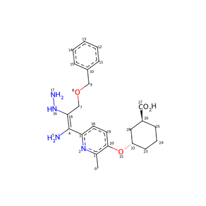 Cc1nc(/C(N)=C(\COCc2ccccc2)NN)ccc1O[C@H]1CCC[C@H](C(=O)O)C1